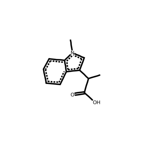 CC(C(=O)O)c1cn(C)c2ccccc12